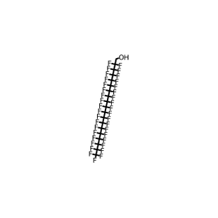 OCC(F)(F)C(F)(F)C(F)(F)C(F)(F)C(F)(F)C(F)(F)C(F)(F)C(F)(F)C(F)(F)C(F)(F)C(F)(F)C(F)(F)C(F)(F)C(F)(F)C(F)(F)C(F)(F)C(F)(F)C(F)(F)F